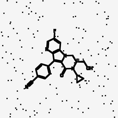 N#Cc1ccc(-c2c3n(c4cc(F)cnc24)C[C@@H](CO)N(C2CC2)C3=O)cc1